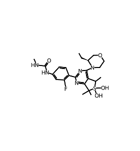 CC[C@H]1COCCN1c1nc(-c2ccc(NC(=O)NC)cc2F)nc2c1C(C)S(O)(O)C2(C)C